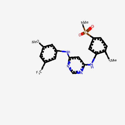 CNS(=O)(=O)c1ccc(SC)c(Nc2cc(Nc3cc(OC)cc(C(F)(F)F)c3)ncn2)c1